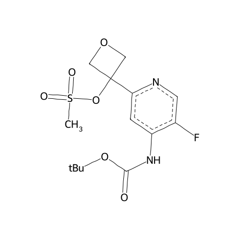 CC(C)(C)OC(=O)Nc1cc(C2(OS(C)(=O)=O)COC2)ncc1F